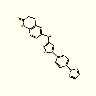 O=C1CCc2cc(Nc3cc(-c4ccc(-n5cccn5)cc4)[nH]n3)ccc2N1